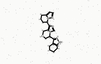 c1cc2n(n1)C(c1ncn3c1COCC3c1n[nH]c3c1CCCC3)CCC2